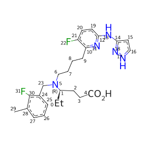 CC[C@H](CCC(=O)O)N(CCCCc1nc(Nc2cc[nH]n2)ccc1F)Cc1cccc(C)c1F